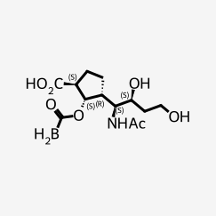 BC(=O)O[C@H]1[C@@H]([C@H](NC(C)=O)[C@@H](O)CCO)CC[C@@H]1C(=O)O